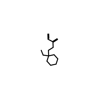 C=CC(=C)CCC1(CC)CCCCC1